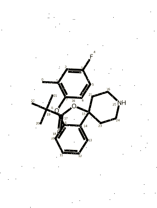 Cc1cc(F)ccc1Oc1ccccc1C1(OC(=O)C(C)(C)C)CCNCC1